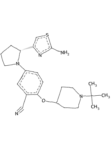 CC(C)(C)N1CCC(Oc2ccc(N3CCC[C@@H]3c3csc(N)n3)cc2C#N)CC1